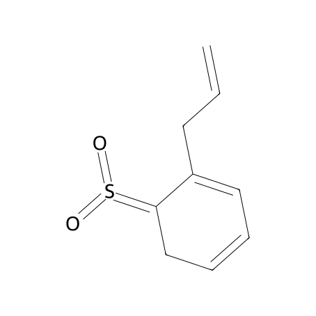 C=CCC1=CC=CCC1=S(=O)=O